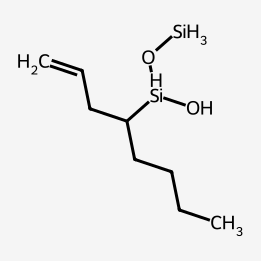 C=CCC(CCCC)[SiH](O)O[SiH3]